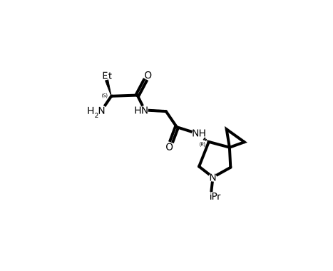 CC[C@H](N)C(=O)NCC(=O)N[C@H]1CN(C(C)C)CC12CC2